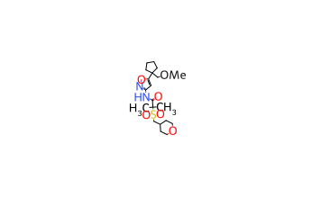 COCC1(c2cc(NC(=O)C(C)(C)S(=O)(=O)CC3CCOCC3)no2)CCCC1